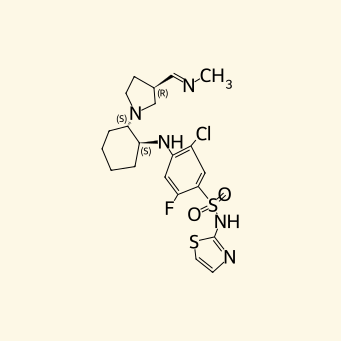 CN=C[C@@H]1CCN([C@H]2CCCC[C@@H]2Nc2cc(F)c(S(=O)(=O)Nc3nccs3)cc2Cl)C1